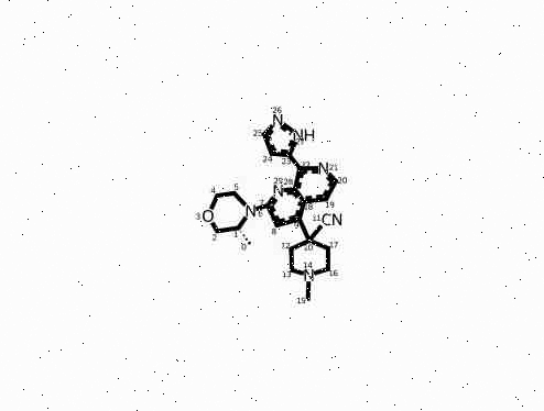 C[C@@H]1COCCN1c1cc(C2(C#N)CCN(C)CC2)c2ccnc(-c3ccn[nH]3)c2n1